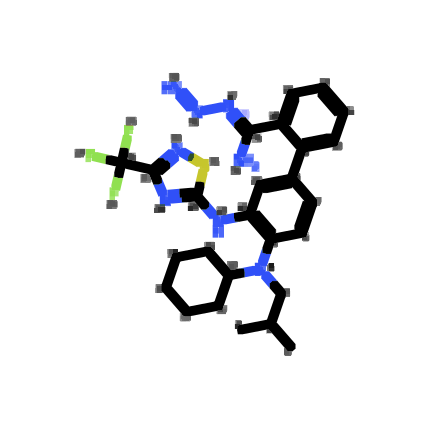 CC(C)CN(c1ccc(-c2ccccc2/C(N)=N/N=N)cc1Nc1nc(C(F)(F)F)ns1)C1CCCCC1